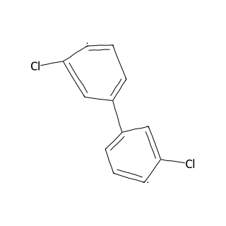 Clc1[c]ccc(-c2cc[c]c(Cl)c2)c1